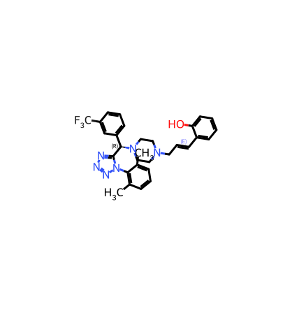 Cc1cccc(C)c1-n1nnnc1[C@@H](c1cccc(C(F)(F)F)c1)N1CCN(C/C=C/c2ccccc2O)CC1